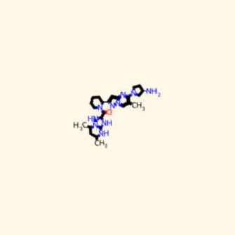 Cc1cn2nc([C@@H]3CCCCN3C(=O)C3NC4NC(C)CC(C)N4N3)cc2nc1N1CC[C@H](N)C1